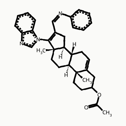 CC(=O)OC1CC[C@@]2(C)C(=CC[C@@H]3[C@@H]2CC[C@]2(C)C(n4cnc5ccccc54)=C(/C=N\c4ccccc4)C[C@@H]32)C1